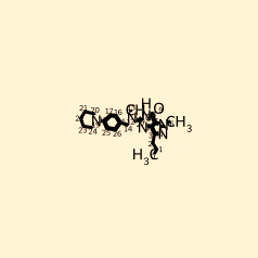 CCCc1nn(C)c2c(=O)[nH]c(N(C)Cc3ccc(N4CCCCC4)cc3)nc12